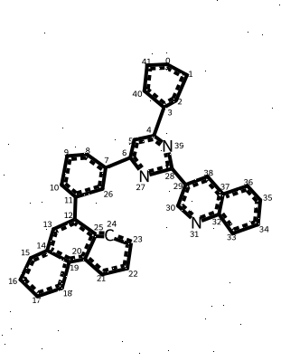 c1ccc(-c2cc(-c3cccc(-c4cc5ccccc5c5ccccc45)c3)nc(-c3cnc4ccccc4c3)n2)cc1